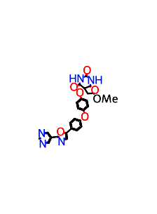 COCCC1(Oc2ccc(Oc3ccc(-c4cnc(-c5cncnc5)o4)cc3)cc2)C(=O)NC(=O)NC1=O